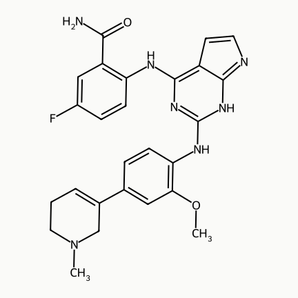 COc1cc(C2=CCCN(C)C2)ccc1Nc1nc(Nc2ccc(F)cc2C(N)=O)c2ccnc-2[nH]1